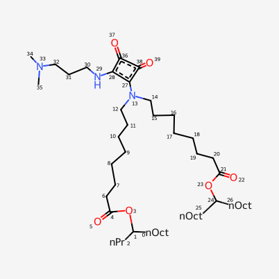 CCCCCCCCC(CCC)OC(=O)CCCCCCCN(CCCCCCCC(=O)OC(CCCCCCCC)CCCCCCCC)c1c(NCCCN(C)C)c(=O)c1=O